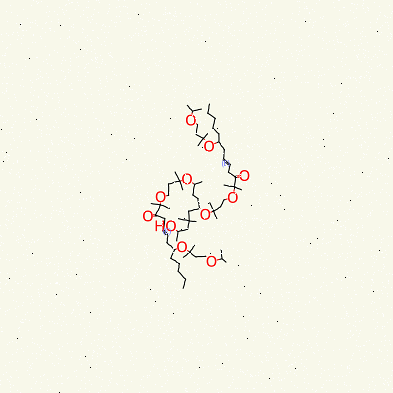 CCCCCC(C/C=C/CC(=O)C(C)(C)OCCC(C)(C)OC(C)CCC(CC(C)(C)CC(C)O)OC(C)(C)CCOC(C)(C)C(=O)C/C=C/CC(CCCCC)OC(C)(C)CCOC(C)C)OC(C)(C)CCOC(C)C